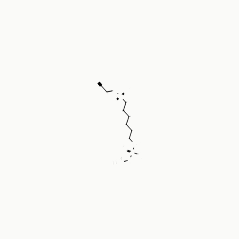 C#CCOS(=O)(=O)CCCCCCOP(C)(=O)OC